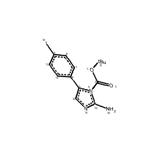 CC(C)(C)OC(=O)n1c(-c2ccc(I)cc2)cnc1N